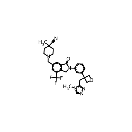 Cn1cnnc1CC1(c2cccc(N3Cc4c(cc(CN5CCC(C)(C#N)CC5)cc4C(F)(F)F)C3=O)c2)COC1